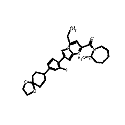 CCc1cc(C(=O)N2CCCCC[C@H]2C)nc2cc(-c3ccc(C4CCC5(CC4)OCCO5)cc3F)nn12